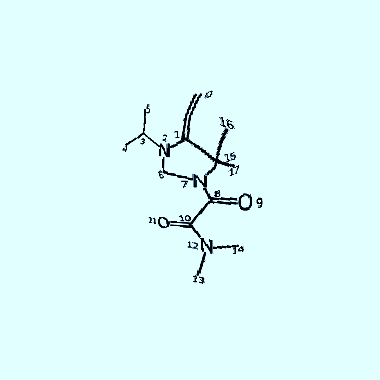 C=C1N(C(C)C)CN(C(=O)C(=O)N(C)C)C1(C)C